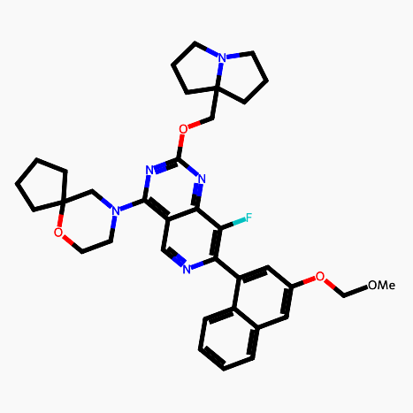 COCOc1cc(-c2ncc3c(N4CCOC5(CCCC5)C4)nc(OCC45CCCN4CCC5)nc3c2F)c2ccccc2c1